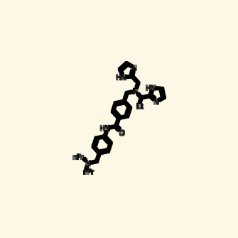 CCCN(CCC)Cc1ccc(NC(=O)c2ccc(CN(Cc3ncc[nH]3)C(CC)c3ncc[nH]3)cc2)cc1